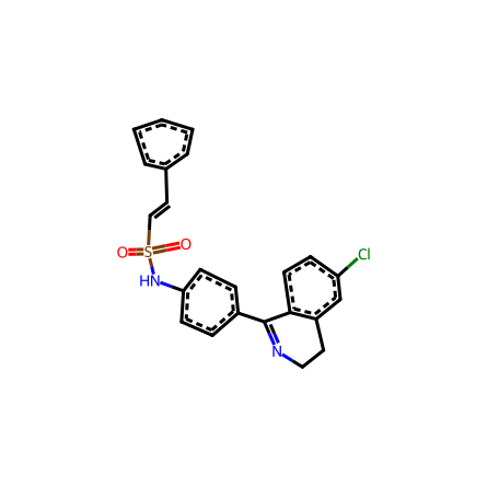 O=S(=O)(C=Cc1ccccc1)Nc1ccc(C2=NCCc3cc(Cl)ccc32)cc1